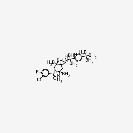 BC(B)(B)c1ccc(C(B)(B)NCC2(F)CC(B)(B)N(C(=O)c3ccc(F)c(Cl)c3)CC2(B)B)nc1